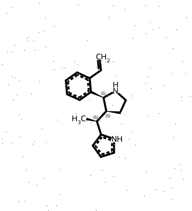 C=Cc1ccccc1[C@H]1NCC[C@H]1[C@H](C)c1ccc[nH]1